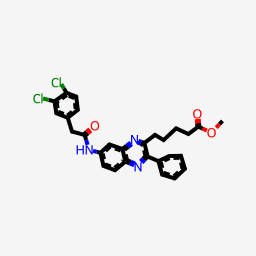 COC(=O)CCCCc1nc2cc(NC(=O)Cc3ccc(Cl)c(Cl)c3)ccc2nc1-c1ccccc1